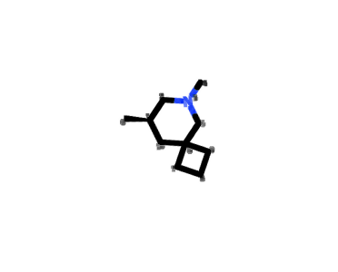 C[C@H]1CN(C)CC2(CCC2)C1